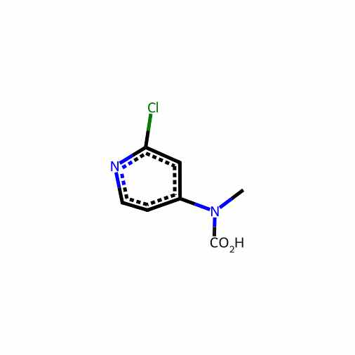 CN(C(=O)O)c1ccnc(Cl)c1